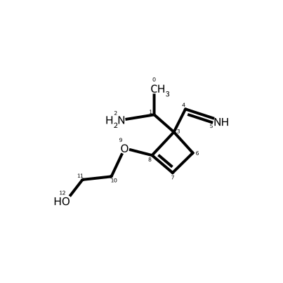 CC(N)C1(C=N)CC=C1OCCO